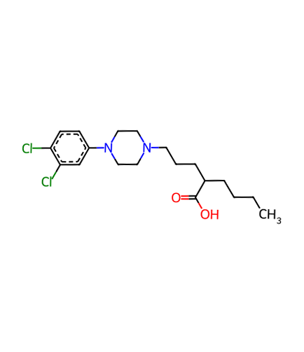 CCCCC(CCCN1CCN(c2ccc(Cl)c(Cl)c2)CC1)C(=O)O